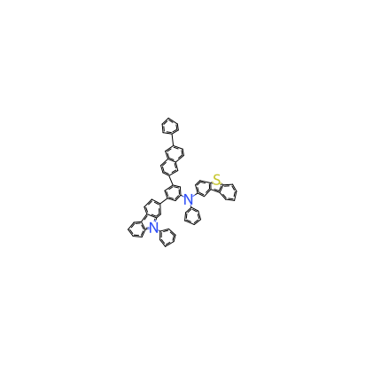 c1ccc(-c2ccc3cc(-c4cc(-c5ccc6c7ccccc7n(-c7ccccc7)c6c5)cc(N(c5ccccc5)c5ccc6sc7ccccc7c6c5)c4)ccc3c2)cc1